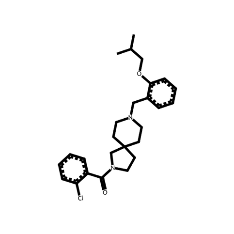 CC(C)COc1ccccc1CN1CCC2(CC1)CCN(C(=O)c1ccccc1Cl)C2